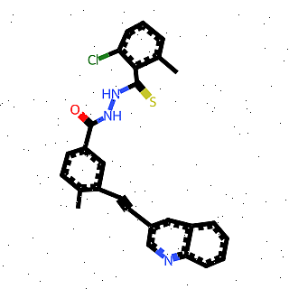 Cc1ccc(C(=O)NNC(=S)c2c(C)cccc2Cl)cc1C#Cc1cnc2ccccc2c1